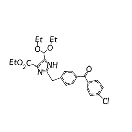 CCOC(=O)c1nc(Cc2ccc(C(=O)c3ccc(Cl)cc3)cc2)[nH]c1C(OCC)OCC